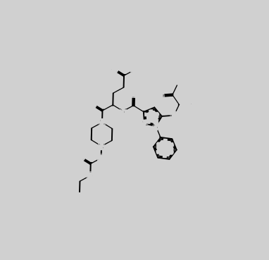 CCOC(=O)ON1CCN(C(=O)C(CCC(=O)O)NC(=O)c2cc(O[C@@H](C)C(C)=O)n(-c3ccccc3)n2)CC1